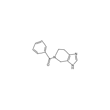 O=C(c1ccccc1)N1CCc2nc[nH]c2C1